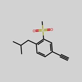 C#Cc1ccc(CC(C)C)c(S(C)(=O)=O)c1